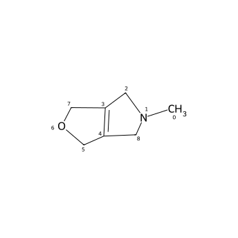 CN1CC2=C(COC2)C1